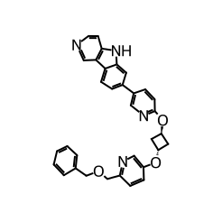 c1ccc(COCc2ccc(O[C@H]3C[C@H](Oc4ccc(-c5ccc6c(c5)[nH]c5ccncc56)cn4)C3)cn2)cc1